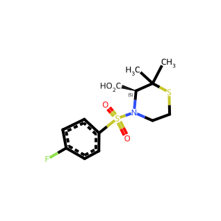 CC1(C)SCCN(S(=O)(=O)c2ccc(F)cc2)[C@H]1C(=O)O